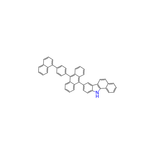 c1ccc2c(-c3ccc(-c4c5ccccc5c(-c5ccc6[nH]c7c8ccccc8ccc7c6c5)c5ccccc45)cc3)cccc2c1